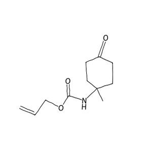 C=CCOC(=O)NC1(C)CCC(=O)CC1